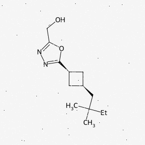 CCC(C)(C)C[C@H]1C[C@@H](c2nnc(CO)o2)C1